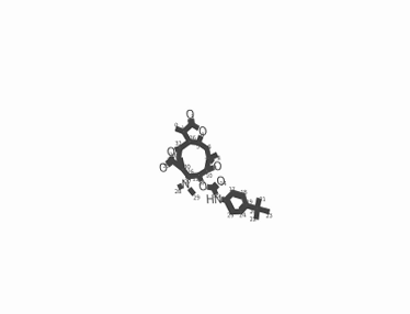 CC1C(=O)OC2CC3(C)OC3C(OC(=O)Nc3ccc(C(C)(C)C)cc3)C(N(C)C)C3=CC(OC3=O)C21